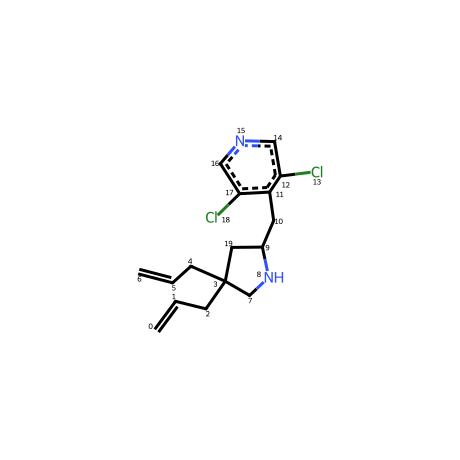 C=CCC1(CC=C)CNC(Cc2c(Cl)cncc2Cl)C1